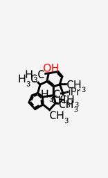 CC1C2=C(C3(C)c4c1cccc4C(C)C3C)C(C)(C(C)(C)C(C)C)C=CC2(C)O